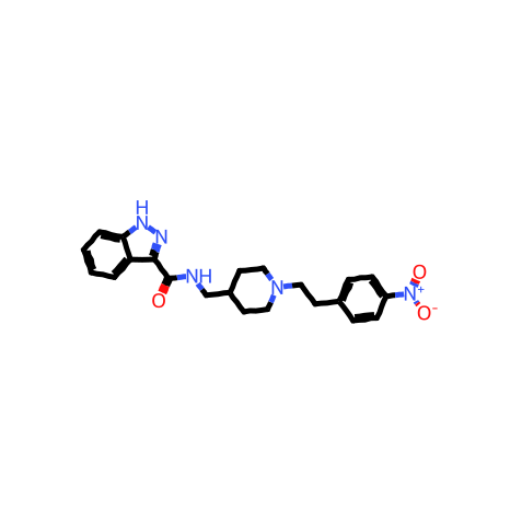 O=C(NCC1CCN(CCc2ccc([N+](=O)[O-])cc2)CC1)c1n[nH]c2ccccc12